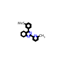 CSc1cccc(-c2nc(-c3cccc(C)n3)nc3c2CCCC3)c1